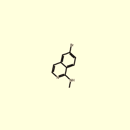 CNc1nccc2cc(Br)ccc12